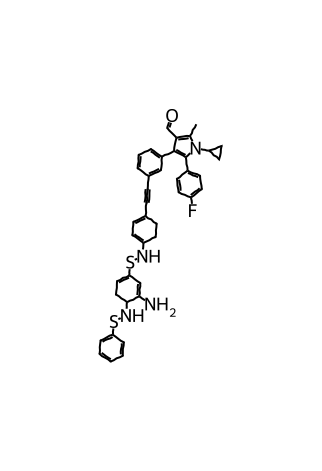 Cc1c(C=O)c(-c2cccc(C#CC3=CC=C(NSC4=CCC(NSc5ccccc5)C(N)=C4)CC3)c2)c(-c2ccc(F)cc2)n1C1CC1